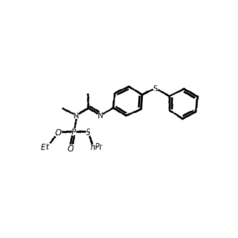 CCCSP(=O)(OCC)N(C)C(C)=Nc1ccc(Sc2ccccc2)cc1